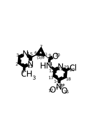 Cc1ccnc([C@H]2C[C@@H]2C(=O)Nc2cc([N+](=O)[O-])cc(Cl)n2)n1